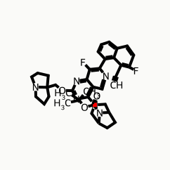 C#Cc1c(F)ccc2cccc(-c3ncc4c(N5CC6CCC(C5)N6C(=O)OC(C)(C)C)nc(OCC56CCCN5CCC6)nc4c3F)c12